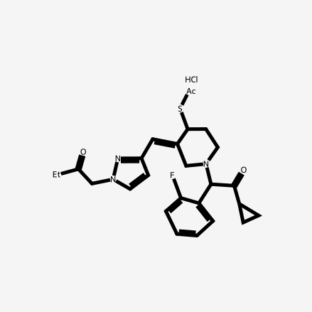 CCC(=O)Cn1ccc(/C=C2\CN(C(C(=O)C3CC3)c3ccccc3F)CCC2SC(C)=O)n1.Cl